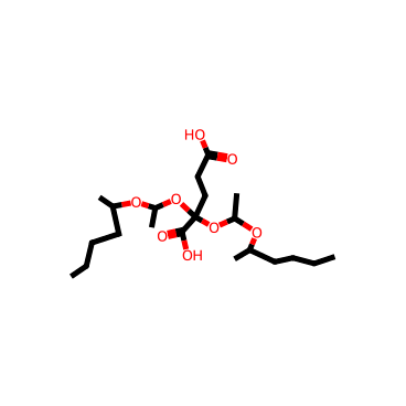 CCCCC(C)OC(C)OC(CCC(=O)O)(OC(C)OC(C)CCCC)C(=O)O